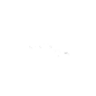 CN1CC2(C1)CN(CCC(Cc1ccc(C#N)cc1)NC(=O)O)C2